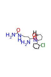 NC(=O)NCCCC(N)C1=NC2(c3ccccc3Cl)CCC[C@@H](O1)C2=O